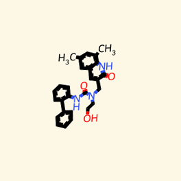 Cc1cc(C)c2[nH]c(=O)c(CN(CCO)C(=O)Nc3ccccc3-c3ccccc3)cc2c1